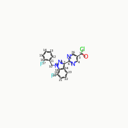 O=C(Cl)c1cnc(-c2nn(Cc3ccccc3F)c3c(F)cccc23)nc1